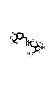 Cc1n[nH]c(C)c1CC(=O)NCc1ccc(F)c(C(F)(F)F)c1